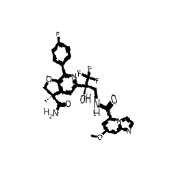 COc1cc(C(=O)NC[C@](O)(c2cc3c(c(-c4ccc(F)cc4)n2)OC[C@]3(C)C(N)=O)C(F)(F)F)n2ccnc2c1